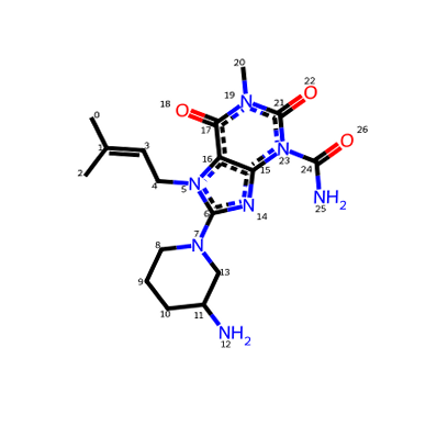 CC(C)=CCn1c(N2CCCC(N)C2)nc2c1c(=O)n(C)c(=O)n2C(N)=O